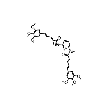 COc1cc(/C=C/C=C/C(=O)Nc2cccc(NC(=O)/C=C/C=C/c3cc(OC)c(OC)c(OC)c3)n2)cc(OC)c1OC